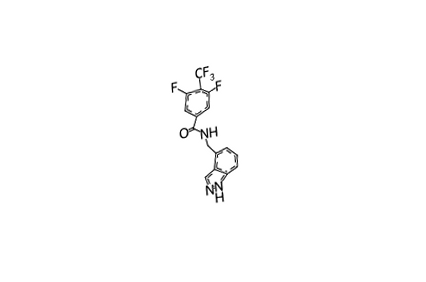 O=C(NCc1cccc2[nH]ncc12)c1cc(F)c(C(F)(F)F)c(F)c1